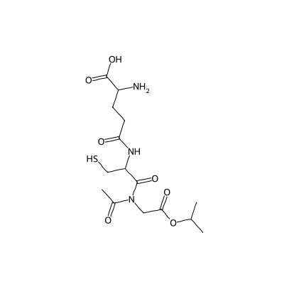 CC(=O)N(CC(=O)OC(C)C)C(=O)C(CS)NC(=O)CCC(N)C(=O)O